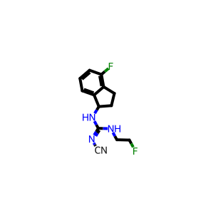 N#CN=C(NCCF)NC1CCc2c(F)cccc21